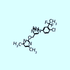 Cc1cc(C)nc(OC/C(=C/Nc2ccc(Cl)c(C(C)(F)F)c2)N=N)n1